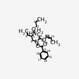 C=CCONC(C=C)CN(OC(=O)c1ccccc1)C(C)O/N=C\C